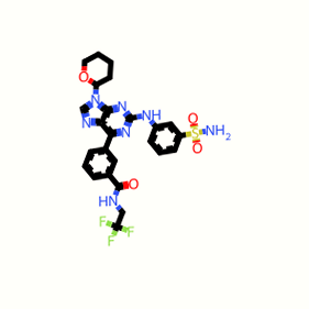 NS(=O)(=O)c1cccc(Nc2nc(-c3cccc(C(=O)NCC(F)(F)F)c3)c3ncn(C4CCCCO4)c3n2)c1